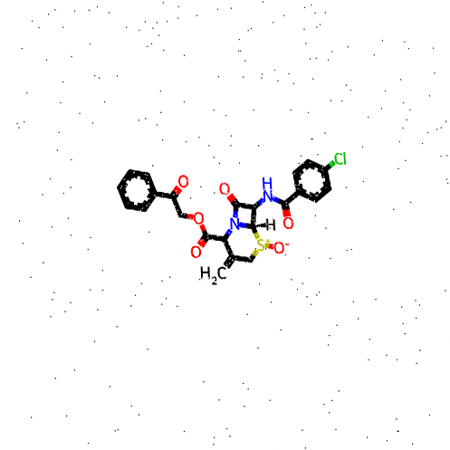 C=C1C[S+]([O-])[C@H]2C(NC(=O)c3ccc(Cl)cc3)C(=O)N2C1C(=O)OCC(=O)c1ccccc1